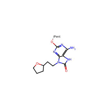 CCC[C@@H](C)Oc1nc(N)c2[nH]c(=O)n(CCC3CCCO3)c2n1